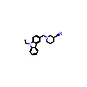 CCn1c2ccccc2c2cc(CN3CCCC(C#N)C3)ccc21